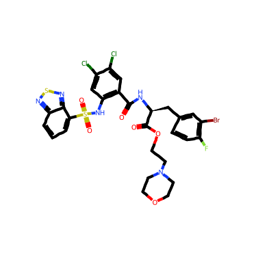 O=C(N[C@@H](Cc1ccc(F)c(Br)c1)C(=O)OCCN1CCOCC1)c1cc(Cl)c(Cl)cc1NS(=O)(=O)c1cccc2nsnc12